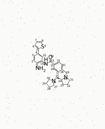 Nc1ccc(-c2cccs2)cc1NC(=O)c1ccc(CN2CCC[C@H]2CN2CCCC2)cc1